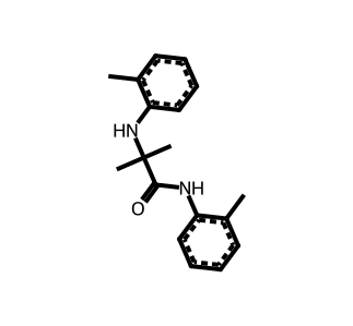 Cc1ccccc1NC(=O)C(C)(C)Nc1ccccc1C